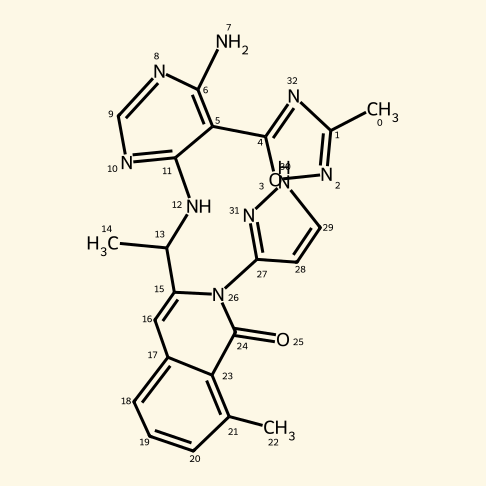 Cc1noc(-c2c(N)ncnc2NC(C)c2cc3cccc(C)c3c(=O)n2-c2cc[nH]n2)n1